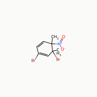 CC1(Br)C=C(Br)C=CC1(C)[N+](=O)[O-]